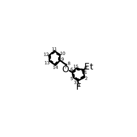 CCc1cc(F)cc(OCc2ccccc2)c1